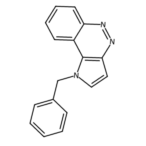 c1ccc(Cn2ccc3nnc4ccccc4c32)cc1